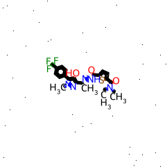 CCN(CC)C(=O)c1ccc(C(=O)NN=C(C)c2nn(C)c(-c3ccc(C(F)(F)F)cc3)c2O)s1